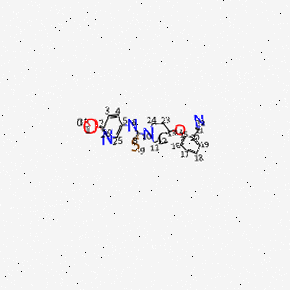 COc1ccc(/N=C(\SC)N2CCC(Oc3ccccc3C#N)CC2)cn1